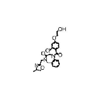 CC1COC(CN2Cc3ccccc3N(C(=O)c3ccc(OCCO)cc3Cl)CC2=O)=N1